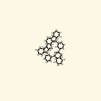 c1ccc(-c2nc(-c3cccc(-n4c5ccccc5c5ccc6c(sc7sc8ccccc8c76)c54)c3)nc3ccccc23)cc1